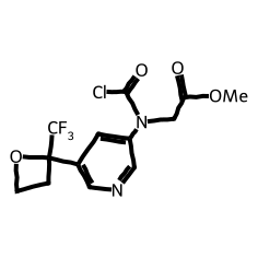 COC(=O)CN(C(=O)Cl)c1cncc(C2(C(F)(F)F)CCO2)c1